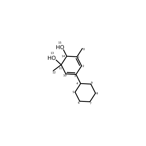 CC1=CC(C2CCCCC2)=CC(C)(O)C1O